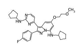 COCCOc1cc(NC2CCCC2)n2nc(-c3ccc(F)cc3)c(-c3ccnc(NC4CCCC4)n3)c2c1